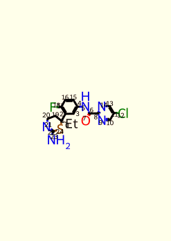 CC[C@@]1(c2cc(NC(=O)c3ncc(Cl)cn3)ccc2F)CCN=C(N)S1